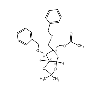 CC(=O)OC[C@]1(COCc2ccccc2)O[C@@H]2OC(C)(C)O[C@@H]2[C@@H]1OCc1ccccc1